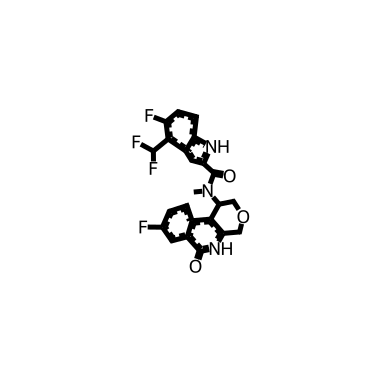 CN(C(=O)c1cc2c(C(F)F)c(F)ccc2[nH]1)C1COCc2[nH]c(=O)c3cc(F)ccc3c21